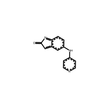 O=C1C=c2cc(Nc3ccncc3)ccc2=N1